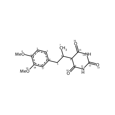 COc1ccc(CC(C)C2C(=O)NC(=O)NC2=O)cc1OC